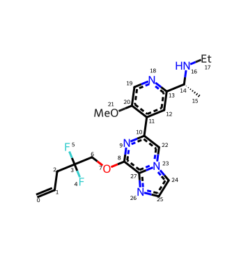 C=CCC(F)(F)COc1nc(-c2cc([C@@H](C)NCC)ncc2OC)cn2ccnc12